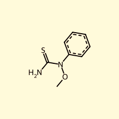 CON(C(N)=S)c1ccccc1